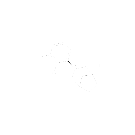 CC(=O)c1cccc([C@H]2C[C@H]3CC[C@@H](C2)N3)c1O